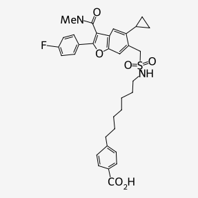 CNC(=O)c1c(-c2ccc(F)cc2)oc2cc(CS(=O)(=O)NCCCCCCCc3ccc(C(=O)O)cc3)c(C3CC3)cc12